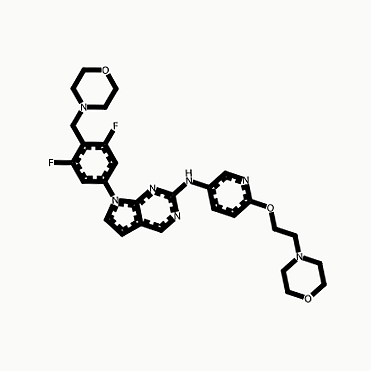 Fc1cc(-n2ccc3cnc(Nc4ccc(OCCN5CCOCC5)nc4)nc32)cc(F)c1CN1CCOCC1